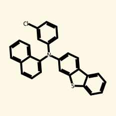 Clc1cccc(N(c2ccc3c(c2)sc2ccccc23)c2cccc3ccccc23)c1